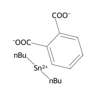 CCC[CH2][Sn+2][CH2]CCC.O=C([O-])c1ccccc1C(=O)[O-]